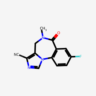 CN1Cc2c(C#N)ncn2-c2ccc(F)cc2C1=O